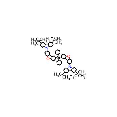 CC(C)c1ccc2c(c1)c1cc(C(C)(C)C)ccc1n2-c1ccc2oc3ccc([Si](c4ccccc4)(c4ccccc4)c4ccc5oc6ccc(-n7c8ccc(C(C)(C)C)cc8c8cc(C(C)(C)C)ccc87)cc6c5c4)cc3c2c1